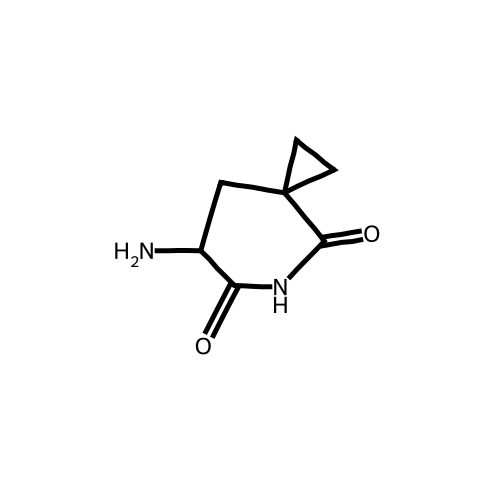 NC1CC2(CC2)C(=O)NC1=O